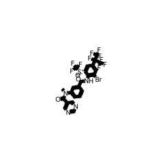 CN(C(=O)c1cncnc1)c1cccc(C(=O)Nc2c(Br)cc(C(F)(C(F)(F)F)C(F)(F)F)cc2[S+]([O-])C(F)(F)F)c1